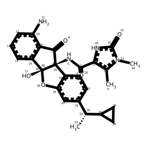 Cc1c(C(=O)N[C@]23C(=O)c4c(N)cccc4[C@@]2(O)Oc2cc([C@@H](C)C4CC4)ccc23)[nH]c(=O)n1C